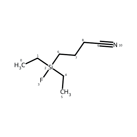 CC[Si](F)(CC)CCCC#N